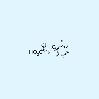 Cc1ccccc1OCC(Cl)C(=O)O